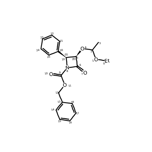 CCOC(C)O[C@H]1C(=O)N(C(=O)OCc2ccccc2)[C@H]1c1ccccc1